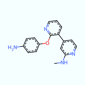 CNc1cc(-c2cccnc2Oc2ccc(N)cc2)ccn1